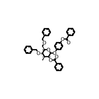 C[C@H]1[C@H](OCc2ccccc2)[C@@H](COCc2ccccc2)OC(Oc2ccc(OC(=O)c3ccccc3)cc2)[C@H]1OC(=O)c1ccccc1